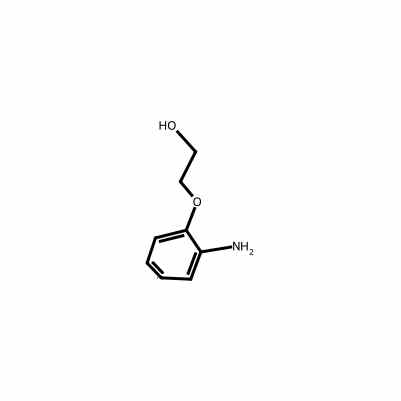 Nc1c[c]ccc1OCCO